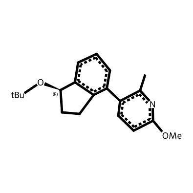 COc1ccc(-c2cccc3c2CC[C@H]3OC(C)(C)C)c(C)n1